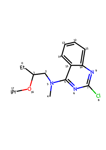 CCC(CN(C)c1nc(Cl)nc2ccccc12)OC(C)C